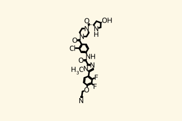 Cn1c(-c2ccc(OCC#N)c(F)c2F)cnc1C(=O)Nc1ccc(C(=O)N2CCN(C(=O)[C@@H]3C[C@H](O)CN3)CC2)c(Cl)c1